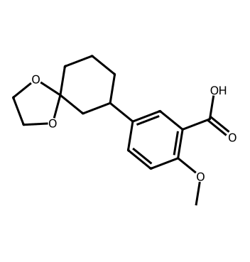 COc1ccc(C2CCCC3(C2)OCCO3)cc1C(=O)O